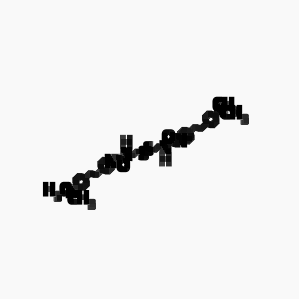 CN(C)c1ccc(/C=C/c2cc[n+](CC(=O)NCCSSCCNC(=O)C[n+]3ccc(/C=C/c4ccc(N(C)C)cc4)cc3)cc2)cc1